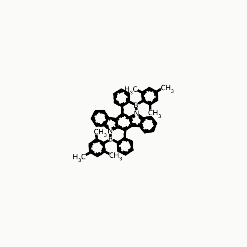 Cc1cc(C)c(B2c3ccccc3-c3c4c5ccccc5n5c4c(c4c6ccccc6n2c34)-c2ccccc2B5c2c(C)cc(C)cc2C)c(C)c1